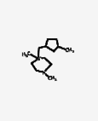 CC1CCC(C[N+]2(C)CCN(C)CC2)C1